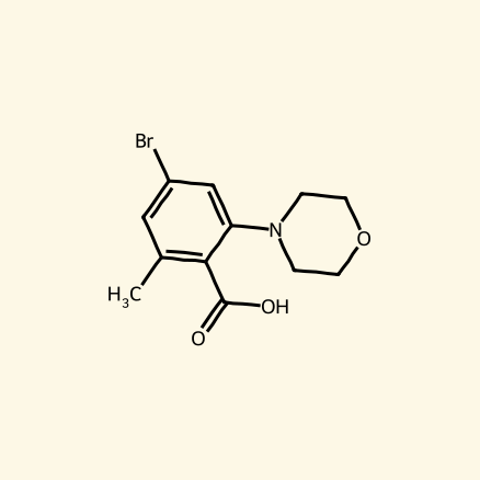 Cc1cc(Br)cc(N2CCOCC2)c1C(=O)O